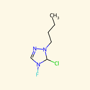 CCCCN1N=CN(F)C1Cl